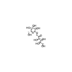 O=C(COC1O[C@H](CO)[C@H](O)[C@H](O)[C@H]1O)C(O)C(O)C(O)CO